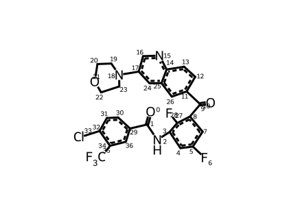 O=C(Nc1cc(F)cc(C(=O)c2ccc3ncc(N4CCOCC4)cc3c2)c1F)c1ccc(Cl)c(C(F)(F)F)c1